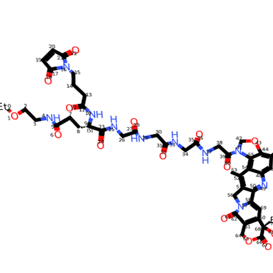 CCOCCNC(=O)CC[C@H](NC(=O)CCCN1C(=O)C=CC1=O)C(=O)NCC(=O)NCC(=O)NCC(=O)NCC(=O)N1COc2c(F)cc3nc4c(c(C)c3c21)Cn1c-4cc2c(c1=O)COC(=O)[C@]2(O)CC